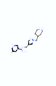 NC(NCc1cnn(CC2CCNCC2)c1)c1cncc(F)c1